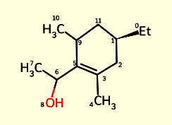 CC[C@H]1CC(C)=C(C(C)O)C(C)C1